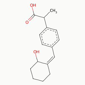 CC(C(=O)O)c1ccc(/C=C2/CCCCC2O)cc1